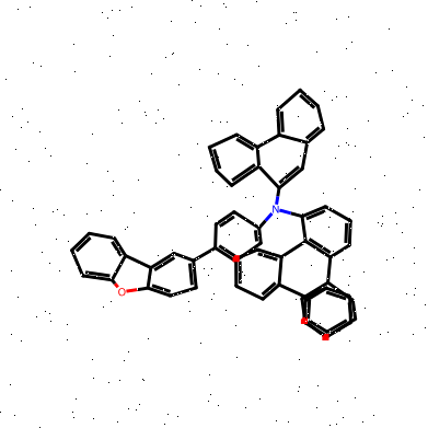 c1ccc(-c2ccccc2-c2c(-c3ccccc3)cccc2N(c2ccc(-c3ccc4oc5ccccc5c4c3)cc2)c2cc3ccccc3c3ccccc23)cc1